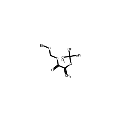 C=C(OC(C)(O)CCC)C(=O)OCOCC